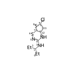 CCC(CC)NC1=NSc2sc(Cl)cc2N1